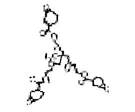 CC(COCCOC(=O)C1CCC2OC2C1)(COCCOC(=O)C1CCC2OC2C1)COCCOC(=O)C1CCC2OC2C1